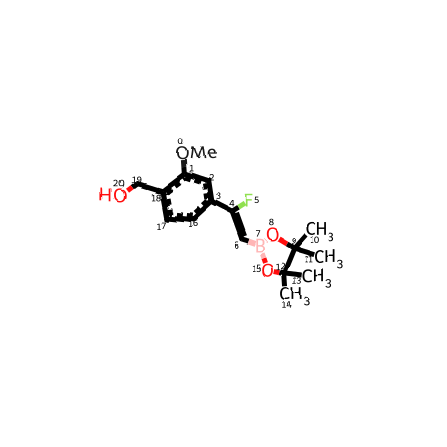 COc1cc(C(F)=CB2OC(C)(C)C(C)(C)O2)ccc1CO